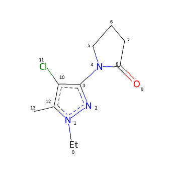 CCn1nc(N2CCCC2=O)c(Cl)c1C